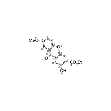 CCOC(=O)c1cc2oc3ccc(OC)cc3c(=O)c2nc1O